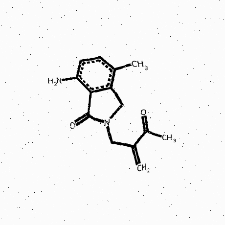 C=C(CN1Cc2c(C)ccc(N)c2C1=O)C(C)=O